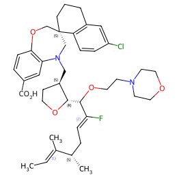 C/C=C(\C)[C@@H](C)C/C=C(\F)C(OCCN1CCOCC1)[C@@H]1OCC[C@H]1CN1C[C@@]2(CCCc3cc(Cl)ccc32)COc2ccc(C(=O)O)cc21